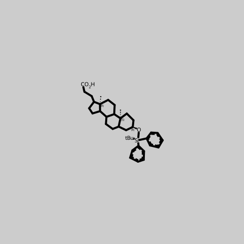 CC(C)(C)[Si](O[C@@H]1CC[C@@]2(C)C(CCC3C2CC[C@]2(C)C(CCC(=O)O)CCC32)C1)(c1ccccc1)c1ccccc1